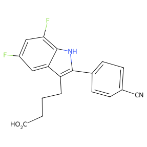 N#Cc1ccc(-c2[nH]c3c(F)cc(F)cc3c2CCCC(=O)O)cc1